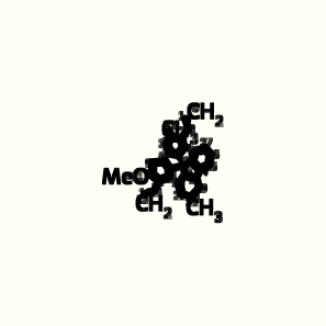 C=CCc1cc([C@]2(c3ccc(OC)c(CC=C)c3)C3=C(CC(C)C=C3)c3ccccc32)ccc1C